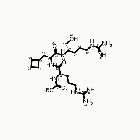 CC(=O)N[C@H](CCCNC(=N)N)C(=O)N[C@@H](CC1CCC1)C(=O)N[C@H](CO)CCCNC(=N)N